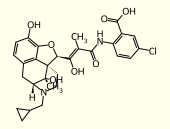 C/C(C(=O)Nc1ccc(Cl)cc1C(=O)O)=C(/O)[C@@H]1Oc2c(O)ccc3c2[C@@]12CCN(CC1CC1)[C@H](C3)[C@@]2(C)O